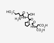 C[C@@H](O)[C@H](NC(=O)[C@@H](N)CCC(=O)O)C(=O)N1CCC[C@H]1C(=O)N[C@@H](CC(=O)O)C(=O)O